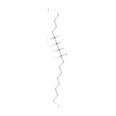 CCCCCC(F)(F)C(F)(F)C(F)(F)C(F)(F)CCCCCCCCO